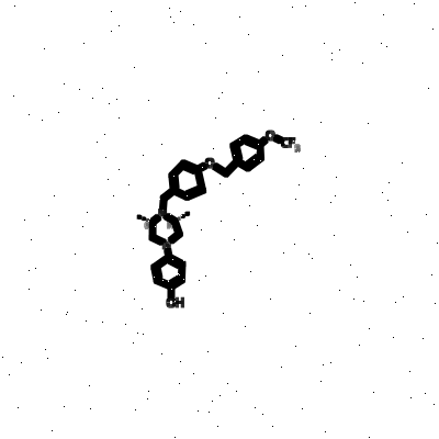 C[C@@H]1CN(c2ccc(O)cc2)C[C@H](C)N1Cc1ccc(OCc2ccc(OC(F)(F)F)cc2)cc1